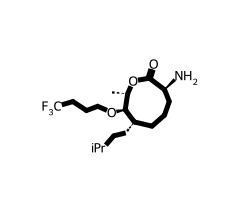 CC(C)CC[C@H]1CCC[C@H](N)C(=O)O[C@@H](C)[C@@H]1OCCCC(F)(F)F